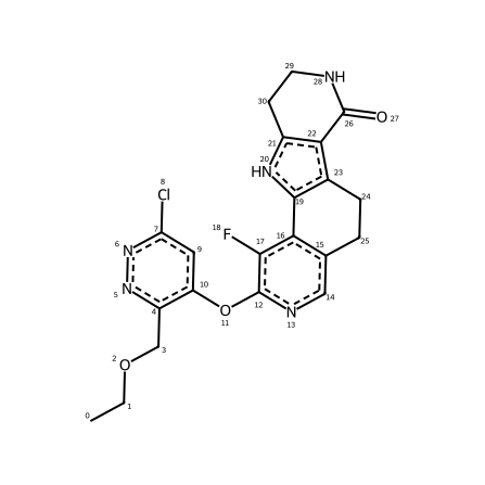 CCOCc1nnc(Cl)cc1Oc1ncc2c(c1F)-c1[nH]c3c(c1CC2)C(=O)NCC3